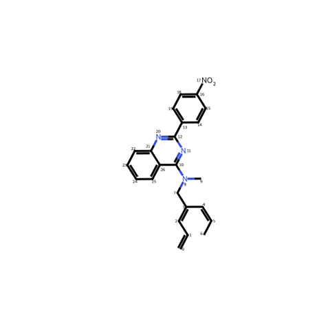 C=C/C=C(\C=C/C)CN(C)c1nc(-c2ccc([N+](=O)[O-])cc2)nc2ccccc12